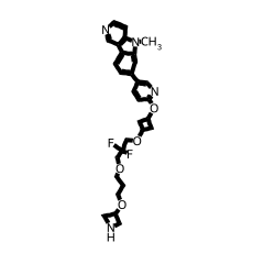 Cn1c2ccncc2c2ccc(-c3ccc(OC4CC(OCC(F)(F)COCCCOC5CNC5)C4)nc3)cc21